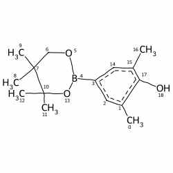 Cc1cc(B2OCC(C)(C)C(C)(C)O2)cc(C)c1O